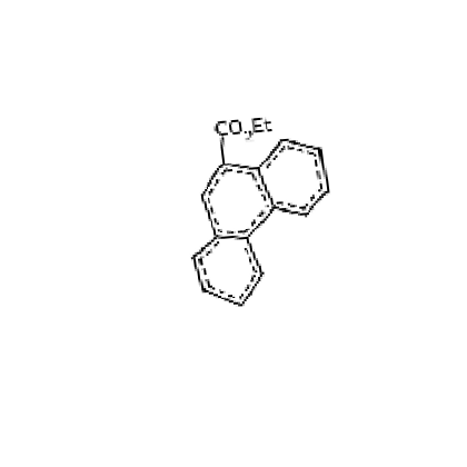 CCOC(=O)c1cc2ccccc2c2ccccc12